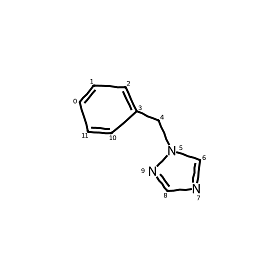 c1ccc(Cn2cncn2)cc1